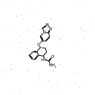 NC(=O)NC1CCC(Oc2ccc3nncn3c2)c2ccccc21